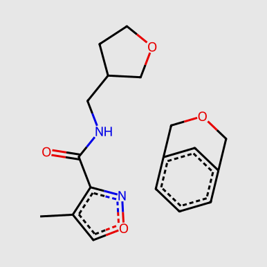 Cc1conc1C(=O)NCC1CCOC1.c1cc2cc(c1)COC2